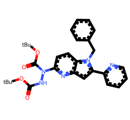 CC(C)(C)OC(=O)NN(C(=O)OC(C)(C)C)c1ccc2c(cc(-c3ccccn3)n2Cc2ccccc2)n1